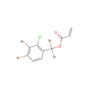 C=CC(=O)OC(Br)(Br)c1ccc(Br)c(Br)c1Cl